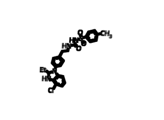 CCC1Nc2c(Cl)cccc2N1c1ccc(CCNC(=O)NS(=O)(=O)c2ccc(C)cc2)cc1